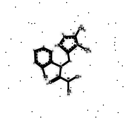 CCc1ccccc1N(Cc1nnc(C)n1C)C(=O)C(Cl)CC